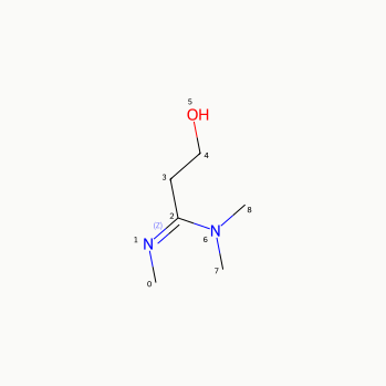 C/N=C(/CCO)N(C)C